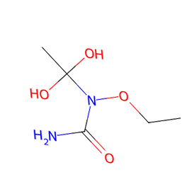 CCON(C(N)=O)C(C)(O)O